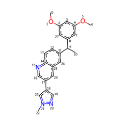 COc1cc(OC)cc(C(C)c2ccc3ncc(-c4cnn(C)c4)cc3c2)c1